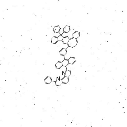 C1=c2/cccc/c2=c2\cc3c(c\c2=C(/c2cccc(-c4c5ccccc5c(-c5ccc6ccc7ccc(-c8ccccc8)nc7c6n5)c5ccccc45)c2)CC/1)-c1ccccc1C3(c1ccccc1)c1ccccc1